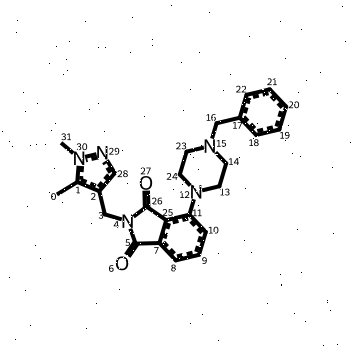 Cc1c(CN2C(=O)c3cccc(N4CCN(Cc5ccccc5)CC4)c3C2=O)cnn1C